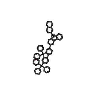 c1ccc(C(c2ccccc2)(c2ccccc2)c2ccc3c(c2)C(c2ccccc2)(c2ccccc2)c2cc(-c4ccc5c(c4)c4ccccc4n5-c4ccc5ccccc5c4)ccc2-3)cc1